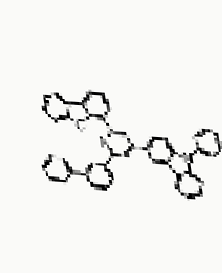 c1ccc(-c2cccc(-c3cc(-c4ccc5c(c4)c4ccccc4n5-c4ccccc4)cc(-c4cccc5c4oc4ccccc45)n3)c2)cc1